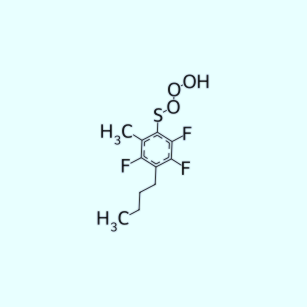 CCCCc1c(F)c(C)c(SOOO)c(F)c1F